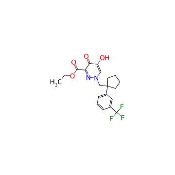 CCOC(=O)c1nn(CC2(c3cccc(C(F)(F)F)c3)CCCC2)cc(O)c1=O